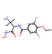 CCOc1c(F)cc(C(=O)NC(C(=O)NO)C(C)(C)N)cc1F